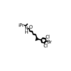 CC(C)C(C)NC(=O)/C=C/C=C/C1CC1c1cc(Cl)c(Br)c(Cl)c1